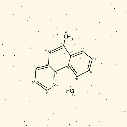 Cc1nc2ccccc2c2ccccc12.Cl